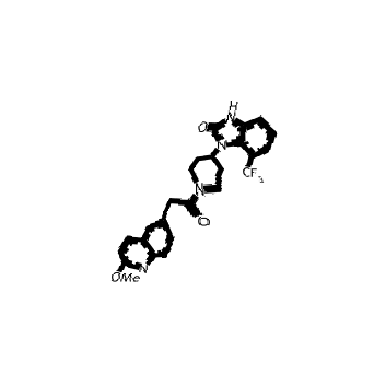 COc1ccc2cc(CC(=O)N3CCC(n4c(=O)[nH]c5cccc(C(F)(F)F)c54)CC3)ccc2n1